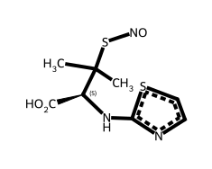 CC(C)(SN=O)[C@@H](Nc1nccs1)C(=O)O